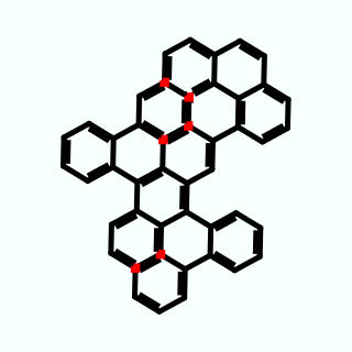 c1ccc(-c2ccccc2-c2c3ccccc3c(-c3ccccc3-c3ccccc3)c3cc(-c4cccc5ccc6cccnc6c45)ccc23)cc1